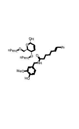 CCCCCOC[C@H]1O[C@H](O)C=C[C@@H]1OCCCCC.COc1cc(CNC(=O)CCCC/C=C/C(C)C)ccc1O